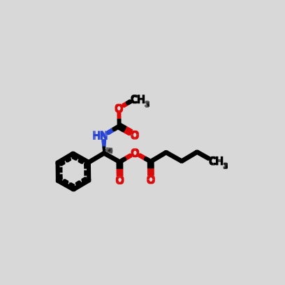 CCCCC(=O)OC(=O)[C@H](NC(=O)OC)c1ccccc1